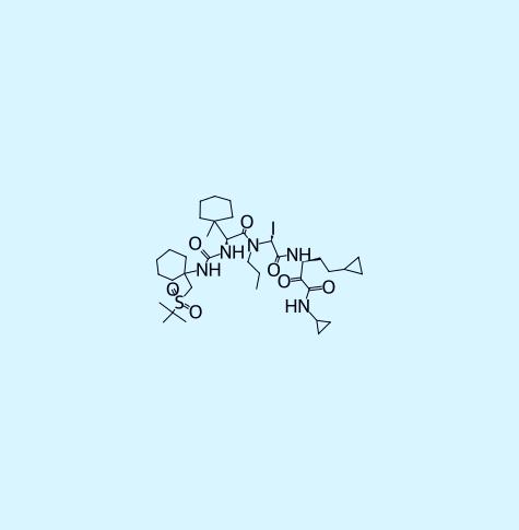 CCCN(C(=O)[C@@H](NC(=O)NC1(CS(=O)(=O)C(C)(C)C)CCCCC1)C1(C)CCCCC1)[C@@H](I)C(=O)N[C@@H](CCC1CC1)C(=O)C(=O)NC1CC1